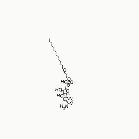 CCCCCCCCCCCCCCOCCCOP(=O)(O)OC[C@H]1O[C@@](C)(c2ccc3c(N)ncnn23)[C@H](O)[C@@H]1O